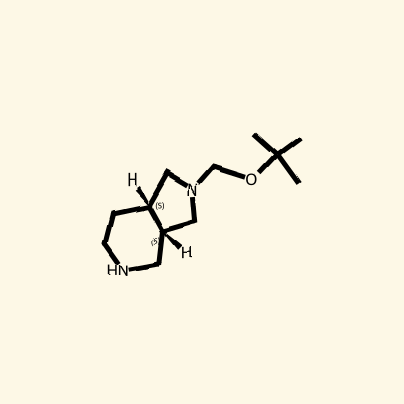 CC(C)(C)OCN1C[C@H]2CCNC[C@H]2C1